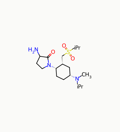 CC(C)N(C)[C@@H]1CC[C@H](N2CCC(N)C2=O)[C@H](CS(=O)(=O)C(C)C)C1